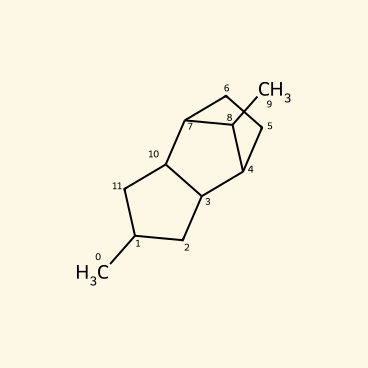 CC1CC2C3CCC(C3C)C2C1